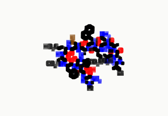 CC/C=C(\C)CN(C)C[C@H](NC(=O)[C@H](C)N)C(=O)N[C@H](C)C(=O)N[C@@H](CC(N)=O)C(=O)N[C@@H](CCC(=O)O)C(=O)N[C@@H](Cc1cccc2ccccc12)C(=O)N[C@H](C)C(=O)N[C@H](CS)C(=O)N[C@@H](CCC(=O)O)C(=O)N[C@@H](CC(=O)O)C(=O)NC(Cc1ccccc1)C(=O)N[C@@H](CC1CC[C@@H]1O)C(=O)N[C@@H](CC(=O)O)C(=O)N[C@H](C(=O)N[C@@H](CN(C)CC)C(N)=O)C(C)(C)C